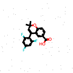 CC1(C)C=C(c2c(F)cc(F)cc2F)c2cc(C(=O)O)ccc2O1